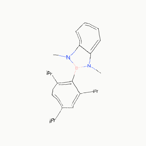 CC(C)c1cc(C(C)C)c(B2N(C)c3ccccc3N2C)c(C(C)C)c1